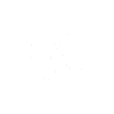 C/C(Nc1c(C(C)C)cccc1C(C)C)=C(\C)N(I)c1c(C(C)C)cccc1C(C)C